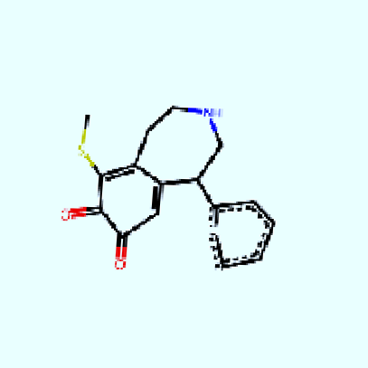 CSC1=C2CCNCC(c3ccccc3)C2=CC(=O)C1=O